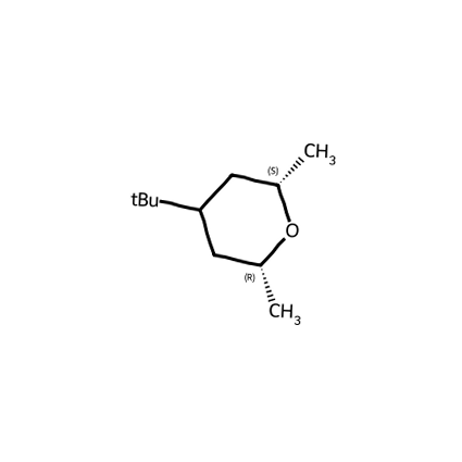 C[C@@H]1CC(C(C)(C)C)C[C@H](C)O1